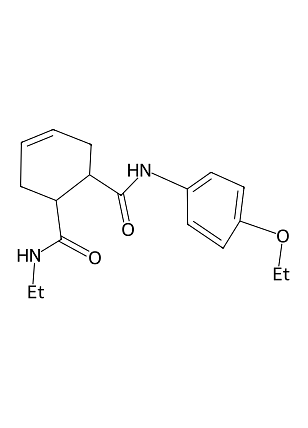 CCNC(=O)C1CC=CCC1C(=O)Nc1ccc(OCC)cc1